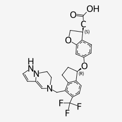 O=C(O)C[C@@H]1COc2cc(O[C@@H]3CCc4c3ccc(C(F)(F)F)c4CN3C=C4C=CNN4CC3)ccc21